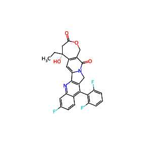 CC[C@@]1(O)CC(=O)OCc2c1cc1n(c2=O)Cc2c-1nc1cc(F)ccc1c2-c1c(F)cccc1F